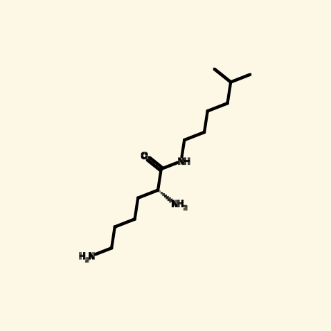 CC(C)CCCCNC(=O)[C@H](N)CCCCN